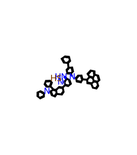 N=C1C(N(c2ccc(-c3ccccc3)cc2)c2ccc(C3C=C4CC=Cc5ccc6cccc3c6c54)cc2)=CC=C(c2ccc3ccc4c(c3c2)c2ccccc2n4-c2ccccc2)/C1=N/S